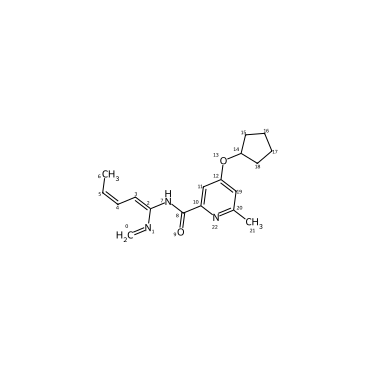 C=N/C(=C\C=C/C)NC(=O)c1cc(OC2CCCC2)cc(C)n1